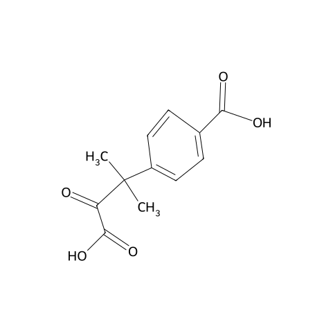 CC(C)(C(=O)C(=O)O)c1ccc(C(=O)O)cc1